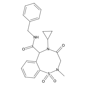 CN1CC(=O)N(C2CC2)C(C(=O)NCc2ccccc2)c2ccccc2S1(=O)=O